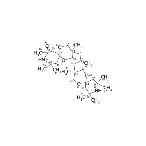 C=C(CC1(C)COC2(CC(C)(C)NC(C)(C)C2)OC1)CC1(C)COC2(CC(C)(C)NC(C)(C)C2)OC1